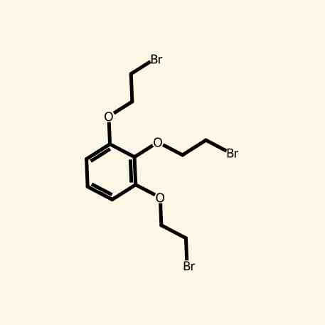 BrCCOc1cccc(OCCBr)c1OCCBr